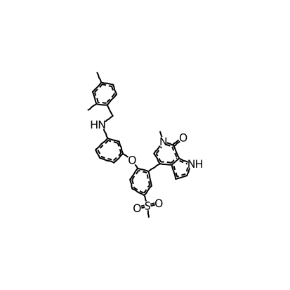 Cc1ccc(CNc2cccc(Oc3ccc(S(C)(=O)=O)cc3-c3cn(C)c(=O)c4[nH]ccc34)c2)c(C)c1